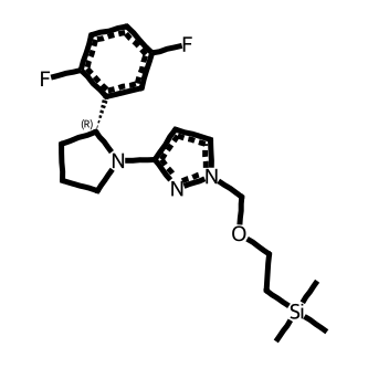 C[Si](C)(C)CCOCn1ccc(N2CCC[C@@H]2c2cc(F)ccc2F)n1